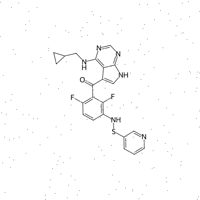 O=C(c1c(F)ccc(NSc2cccnc2)c1F)c1c[nH]c2ncnc(NCC3CC3)c12